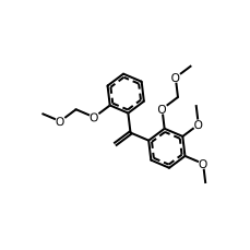 C=C(c1ccccc1OCOC)c1ccc(OC)c(OC)c1OCOC